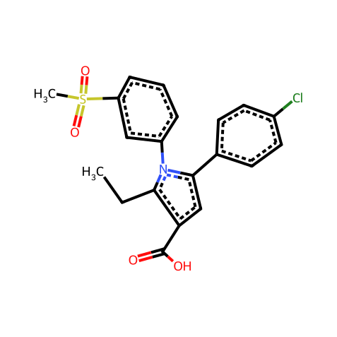 CCc1c(C(=O)O)cc(-c2ccc(Cl)cc2)n1-c1cccc(S(C)(=O)=O)c1